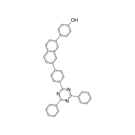 Oc1ccc(-c2ccc3ccc(-c4ccc(-c5nc(-c6ccccc6)nc(-c6ccccc6)n5)cc4)cc3c2)cc1